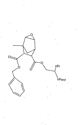 CCCCCC(CCC)COC(=O)C1C2CC(C)(C3OC23)C1C(=O)OCc1ccccc1